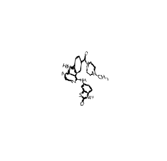 CN1CCN(C(=O)C2CCc3[nH]c4ncnc(Nc5ccc6[nH]c(=O)sc6c5)c4c3C2)CC1